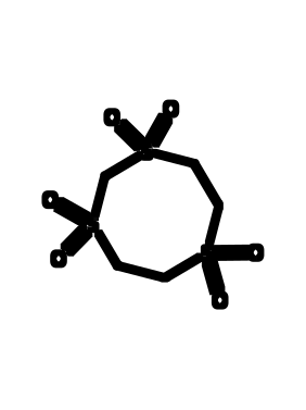 O=S1(=O)CCS(=O)(=O)CS(=O)(=O)CC1